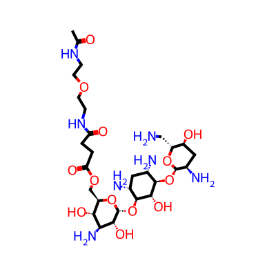 CC(=O)NCCOCCNC(=O)CCC(=O)OC[C@H]1O[C@H](O[C@@H]2[C@@H](O)[C@H](O[C@H]3O[C@H](CN)[C@@H](O)C[C@H]3N)[C@@H](N)C[C@H]2N)[C@H](O)[C@@H](N)[C@@H]1O